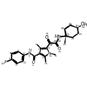 Cc1c(C(=O)Nc2ccc(F)cc2)c(C)n(C)c1C(=O)C(=O)N[C@]1(C)CC[C@@H](O)CC1